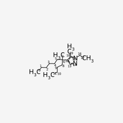 CCCCCCC(C)(CCCC)c1cnn(CC)c1C